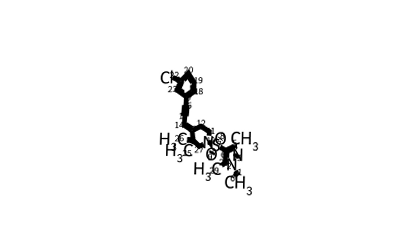 CCn1nc(C)c(S(=O)(=O)N2CC/C(=C\C#Cc3cccc(Cl)c3)C(C)(C)C2)c1C